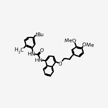 COc1ccc(CCOc2ccc(NC(=O)Nc3cc(C(C)(C)C)ccc3C)c3ccccc23)cc1OC